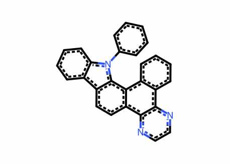 c1ccc(-n2c3ccccc3c3ccc4c5nccnc5c5ccccc5c4c32)cc1